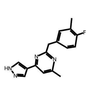 Cc1cc(-c2cn[nH]c2)nc(Cc2ccc(F)c(C)c2)n1